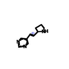 C(=C\C1CCCN1)/c1cncnc1